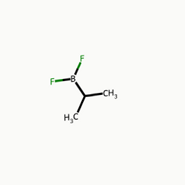 CC(C)B(F)F